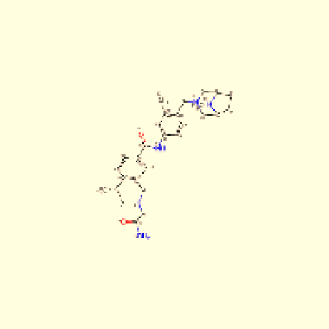 C[C@H]1CN(CC(N)=O)Cc2cc(C(=O)Nc3ccc(CN4CC5CCC(C4)N5C)c(C(F)(F)F)c3)ccc21